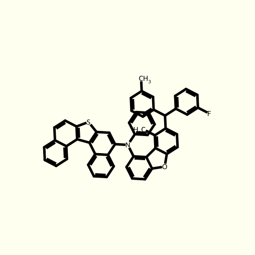 Cc1cccc(C(c2cccc(F)c2)c2ccc3oc4cccc(N(c5ccccc5)c5cc6sc7ccc8ccccc8c7c6c6ccccc56)c4c3c2C)c1